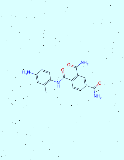 Cc1cc(N)ccc1NC(=O)c1ccc(C(N)=O)cc1C(N)=O